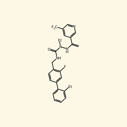 C=C(NN(CC)C(=O)NCc1ccc(-c2ccccc2CC)cc1F)c1cncc(C(F)(F)F)c1